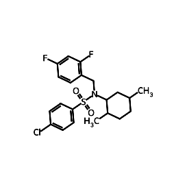 CC1CCC(C)C(N(Cc2ccc(F)cc2F)S(=O)(=O)c2ccc(Cl)cc2)C1